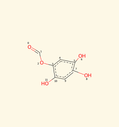 O=COc1cc(O)c(O)cc1O